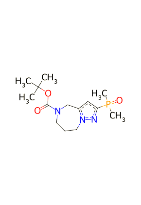 CC(C)(C)OC(=O)N1CCCn2nc(P(C)(C)=O)cc2C1